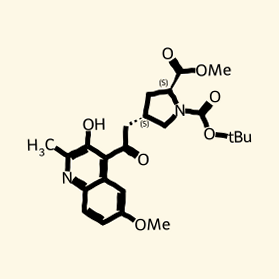 COC(=O)[C@@H]1C[C@@H](CC(=O)c2c(O)c(C)nc3ccc(OC)cc23)CN1C(=O)OC(C)(C)C